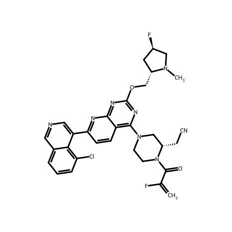 C=C(F)C(=O)N1CCN(c2nc(OC[C@@H]3C[C@@H](F)CN3C)nc3nc(-c4cncc5cccc(Cl)c45)ccc23)C[C@@H]1CC#N